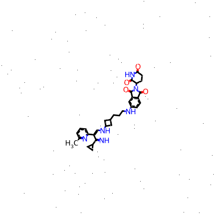 Cc1cccc(/C(=C/NC2CC(CCCNc3ccc4c(c3)C(=O)N(C3CCC(=O)NC3=O)C4=O)C2)C(=N)C2CC2)n1